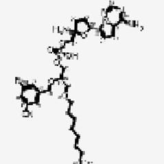 CCCCCCCCCCCCCCCCCOC[C@H](COP(=O)(O)OC[C@]1(N)CC[C@H](c2ccc3c(N)ncnn23)O1)OCc1cc(F)cc(C#N)c1